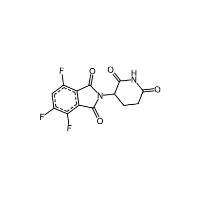 O=C1CCC(N2C(=O)c3c(F)cc(F)c(F)c3C2=O)C(=O)N1